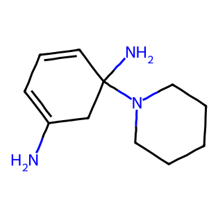 NC1=CC=CC(N)(N2CCCCC2)C1